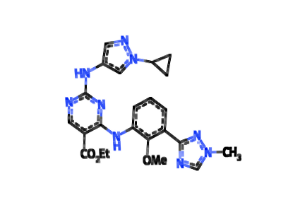 CCOC(=O)c1cnc(Nc2cnn(C3CC3)c2)nc1Nc1cccc(-c2ncn(C)n2)c1OC